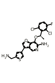 C[C@@H](Oc1c(N)ncc2c(-c3csc(CN)c3)coc12)c1c(Cl)ccc(F)c1Cl